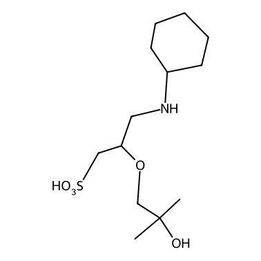 CC(C)(O)COC(CNC1CCCCC1)CS(=O)(=O)O